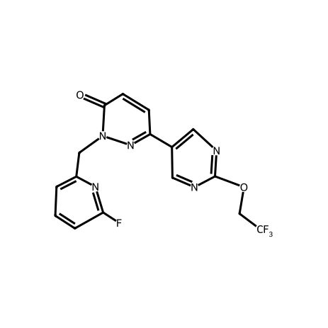 O=c1ccc(-c2cnc(OCC(F)(F)F)nc2)nn1Cc1cccc(F)n1